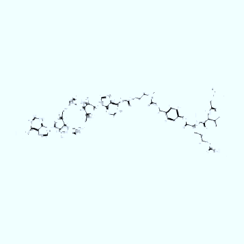 CC(C)[C@H](NC(=O)CON)C(=O)N[C@@H](CCCNC(N)=O)C(=O)Nc1ccc(COC(=O)N(C)CCOC(=O)Nc2ncnc3c2ncn3[C@@H]2O[C@@H]3CO[P@@](=O)(S)O[C@H]4[C@@H](C)[C@H](n5cnc6c(N)ncnc65)O[C@@H]4CO[P@@](=O)(S)O[C@H]3[C@H]2F)cc1